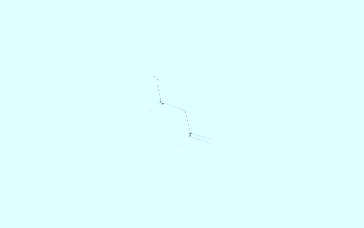 C=C(F)CC(N)=O